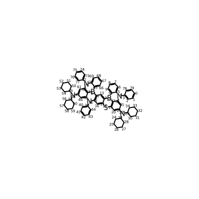 c1ccc(N2c3ccccc3B3c4cc5c(cc4Sc4cc(N(C6CCCCC6)C6CCCCC6)cc2c43)N(c2ccccc2)c2cc(N(C3CCCCC3)C3CCCCC3)cc3c2B5c2ccccc2N3c2ccccc2)cc1